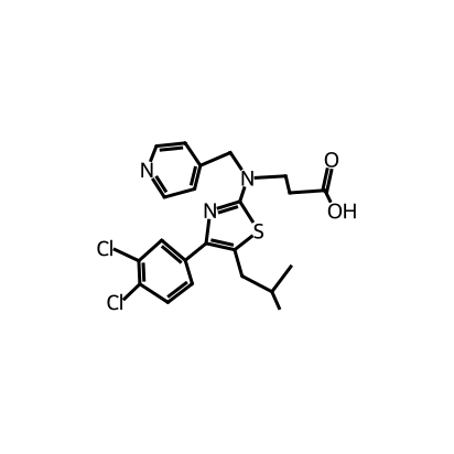 CC(C)Cc1sc(N(CCC(=O)O)Cc2ccncc2)nc1-c1ccc(Cl)c(Cl)c1